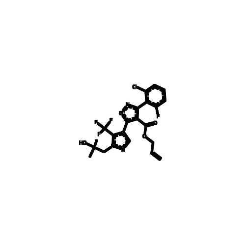 C=CCOC(=O)c1c(-c2c(F)cccc2Cl)noc1-c1cnn(CC(C)(C)O)c1C(F)(F)F